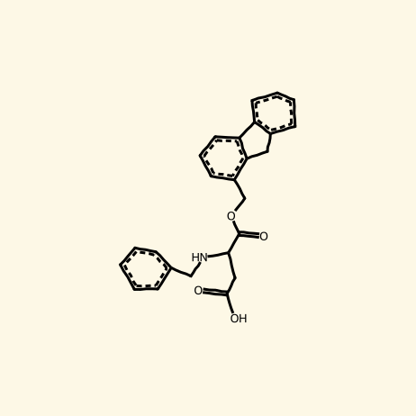 O=C(O)CC(NCc1ccccc1)C(=O)OCc1cccc2c1Cc1ccccc1-2